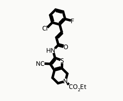 CCOC(=O)N1CCc2c(sc(NC(=O)C=Cc3c(F)cccc3Cl)c2C#N)C1